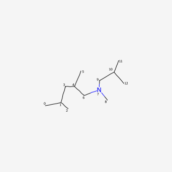 CC(C)CC(C)CN(C)CC(C)C